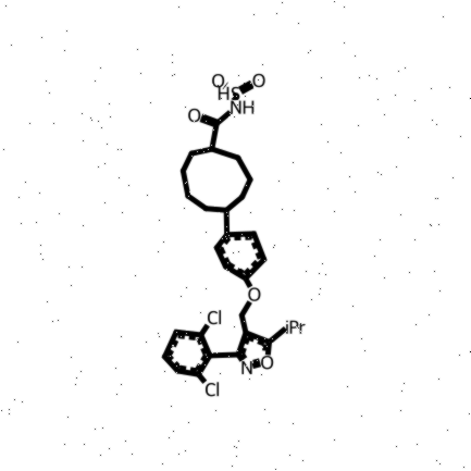 CC(C)c1onc(-c2c(Cl)cccc2Cl)c1COc1ccc(C2CCCCC(C(=O)N[SH](=O)=O)CCC2)cc1